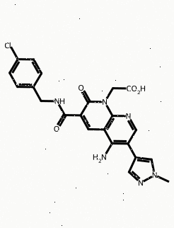 Cn1cc(-c2cnc3c(cc(C(=O)NCc4ccc(Cl)cc4)c(=O)n3CC(=O)O)c2N)cn1